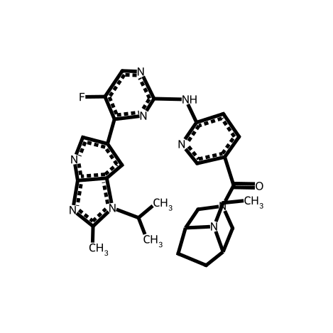 CCN1C2CCC1CN(C(=O)c1ccc(Nc3ncc(F)c(-c4cnc5nc(C)n(C(C)C)c5c4)n3)nc1)C2